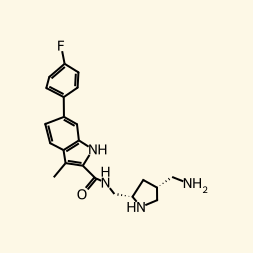 Cc1c(C(=O)NC[C@@H]2C[C@H](CN)CN2)[nH]c2cc(-c3ccc(F)cc3)ccc12